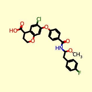 COC(Cc1ccc(F)cc1)NC(=O)c1ccc(Oc2cc3c(cc2Cl)C(C(=O)O)CCO3)cc1